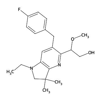 CCN1CC(C)(C)c2nc(C(CO)OC)c(Cc3ccc(F)cc3)cc21